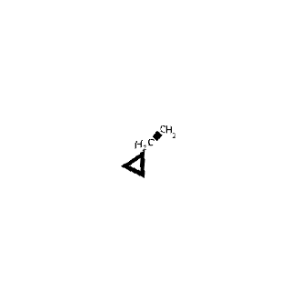 C1CC1.C=C